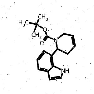 CC(C)(C)OC(=O)N1CC=CCC1c1cccc2cc[nH]c12